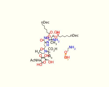 CCCCCCCCCCCCCCCC(=O)OC([C@H](CO)OC(=O)CCCCCCCCCCCCCCC)[C@@](C)(N)C(=O)N[C@H](CCC(=O)N(CC(C)O[C@H]1[C@H](O)[C@@H](CO)O[C@H](O)[C@@H]1NC(C)=O)[C@@H](C)C(=O)O)C(N)=O.NCCO[PH3]O